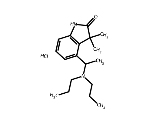 CCCN(CCC)C(C)c1cccc2c1C(C)(C)C(=O)N2.Cl